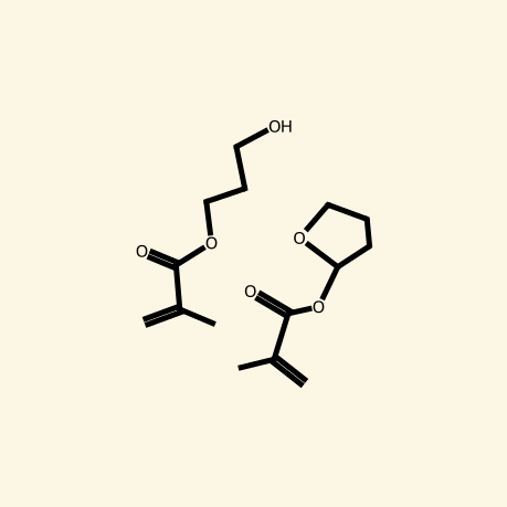 C=C(C)C(=O)OC1CCCO1.C=C(C)C(=O)OCCCO